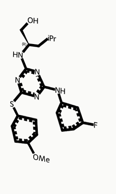 COc1ccc(Sc2nc(Nc3cccc(F)c3)nc(N[C@@H](CO)CC(C)C)n2)cc1